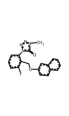 Cn1nnn(-c2cccc(F)c2COc2ccc3ccccc3c2)c1=O